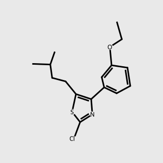 CCOc1cccc(-c2nc(Cl)sc2CCC(C)C)c1